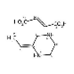 CC=C1CNCCN1.O=C(O)C=CC(=O)O